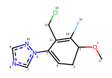 COC1CC=C(n2cncn2)C(CCl)=C1F